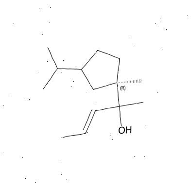 CC=CC(C)(O)[C@]1(C)CCC(C(C)C)C1